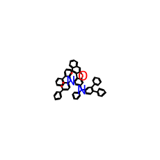 c1ccc(-c2ccc(N(c3ccccc3-c3ccccc3)c3cc(N(c4ccccc4)c4ccc(-c5ccccc5)c(-c5ccccc5)c4)cc4oc5cc6ccccc6cc5c34)cc2)cc1